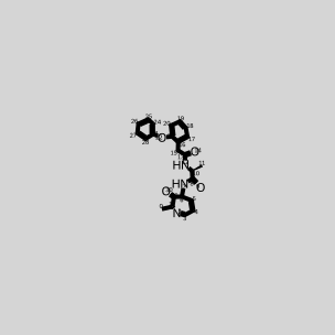 CC1N=CC=CC(NC(=O)[C@H](C)NC(=O)Cc2ccccc2Oc2ccccc2)C1=O